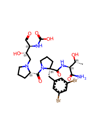 C[C@@H](O)[C@H](NC(=O)[C@]1(Cc2cc(Br)cc(Br)c2)CCCN1C(=O)[C@@H]1CCCN1C[C@H](O)[C@@H](C=O)NC(=O)O)C(N)=O